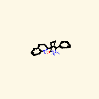 NC(=O)C1(C2CCc3ccccc3N2)CCC1C(N)c1ccccc1